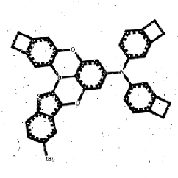 CC(C)(C)c1ccc2sc3c(c2c1)Oc1cc(N(c2ccc4c(c2)CC4)c2ccc4c(c2)CC4)cc2c1B3c1cc3c(cc1O2)CC3